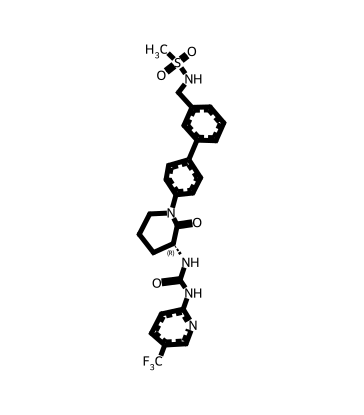 CS(=O)(=O)NCc1cccc(-c2ccc(N3CCC[C@@H](NC(=O)Nc4ccc(C(F)(F)F)cn4)C3=O)cc2)c1